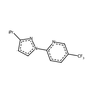 CC(C)c1[c]cn(-c2ccc(C(F)(F)F)cn2)n1